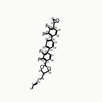 C/C=C/CCC1COC(c2ccc(-c3ccc(-c4ccc(C5CO5)c(F)c4F)cc3)c(F)c2F)OC1